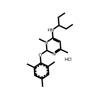 CCC(CC)NC1=CC(C)=NC(Oc2c(C)cc(C)cc2C)N1C.Cl